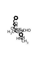 Cc1nc2cc(N(C)C=O)c(OC[C@@H](C)NC(=O)c3cc(Cc4ccccc4)on3)cc2[nH]1